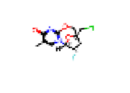 Cc1cn2c(nc1=O)OC[C@]1(CCl)C[C@H](F)[C@H]2O1